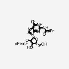 CCCCCO[C@@H]1[C@H](O)[C@@H](CO)O[C@H]1n1cnc2c(=O)[nH]c(NC(=O)C(C)C)nc21